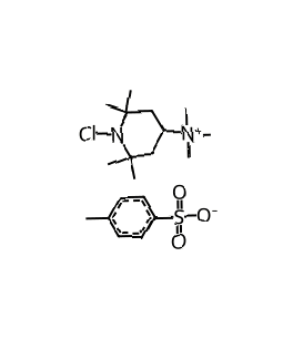 CC1(C)CC([N+](C)(C)C)CC(C)(C)N1Cl.Cc1ccc(S(=O)(=O)[O-])cc1